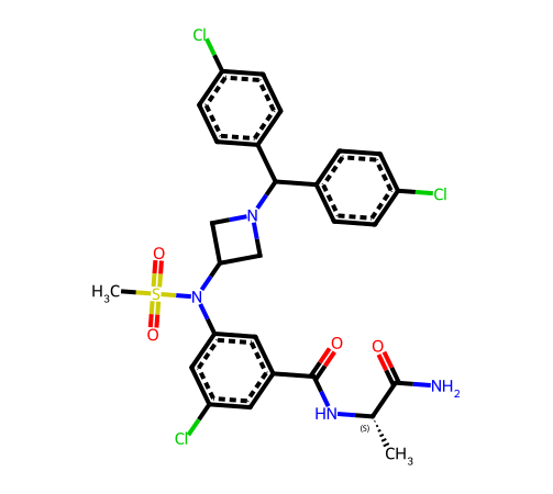 C[C@H](NC(=O)c1cc(Cl)cc(N(C2CN(C(c3ccc(Cl)cc3)c3ccc(Cl)cc3)C2)S(C)(=O)=O)c1)C(N)=O